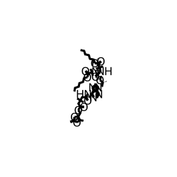 C=C1OC(C)=C(COC(=O)CC(C)(C)CC(=O)Nc2ncnc3c2ncn3C[C@@H](C)OCP(=O)(NC(C)(C)C(=O)OCCCCCC)NC(C)(C)C(=O)OCCCCCC)O1